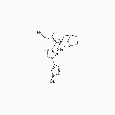 CC(C)COC(=O)N1C2CCC1CN(/C(=C(\F)C=N)c1nc(-c3cnn(C)c3)c[nH]1)C2